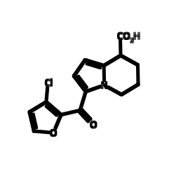 O=C(c1occc1Cl)c1ccc2n1CCCC2C(=O)O